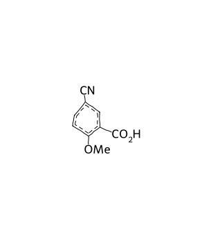 COc1ccc(C#N)cc1C(=O)O